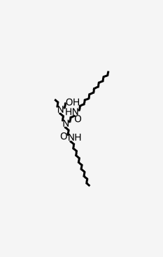 CCCCCCCCCCCCCCNC(=O)CCN(CCCN(CCC)CCO)CCC(=O)NCCCCCCCCCCCCCC